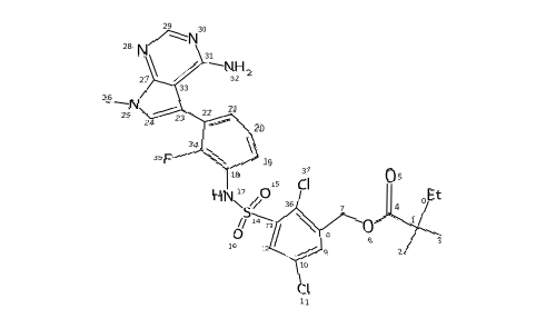 CCC(C)(C)C(=O)OCc1cc(Cl)cc(S(=O)(=O)Nc2cccc(-c3cn(C)c4ncnc(N)c34)c2F)c1Cl